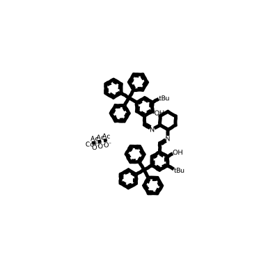 CC(=O)[O-].CC(=O)[O-].CC(=O)[O-].CC(C)(C)c1cc(C(c2ccccc2)(c2ccccc2)c2ccccc2)cc(C=NC2CCCCC2N=Cc2cc(C(c3ccccc3)(c3ccccc3)c3ccccc3)cc(C(C)(C)C)c2O)c1O.[Co+3]